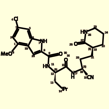 COc1cc(Cl)cc2[nH]c(C(=O)N[C@@H](CC(C)C)C(=O)N[C@H](C#N)CC[C@@H]3CCCNC3=O)cc12